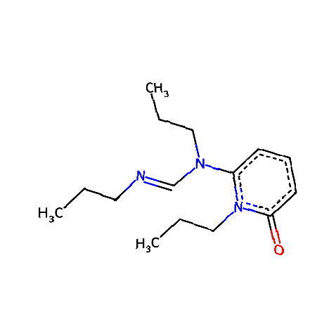 CCCN=CN(CCC)c1cccc(=O)n1CCC